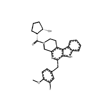 COc1ccc(Cc2nc3c(c4c2[nH]c2ccccc24)CCN(C(=O)[C@@H]2CCC[C@@H]2O)C3)cc1F